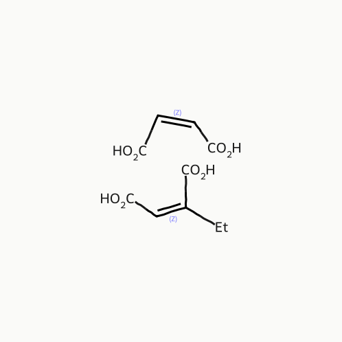 CC/C(=C/C(=O)O)C(=O)O.O=C(O)/C=C\C(=O)O